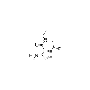 CCOC(=O)c1c(N)cnn1C(F)F